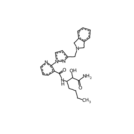 CCCCC(NC(=O)c1cccnc1-n1ccc(CN2Cc3ccccc3C2)n1)C(O)C(N)=O